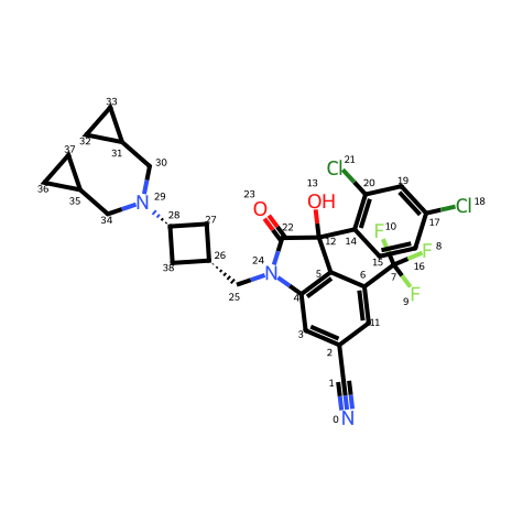 N#Cc1cc2c(c(C(F)(F)F)c1)C(O)(c1ccc(Cl)cc1Cl)C(=O)N2C[C@H]1C[C@@H](N(CC2CC2)CC2CC2)C1